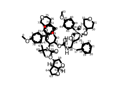 COc1ccc(S(=O)(=O)N(CC(OC(=O)N[C@@H](Cc2ccccc2)[C@@H](O)CN(OC2CCOCC2)S(=O)(=O)c2ccc(OC)cc2)C(Cc2ccccc2)N(C(=O)O[C@H]2CO[C@H]3OCC[C@H]32)C(C)(C)C)OC2CCOCC2)cc1